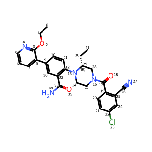 CCOc1ncccc1-c1ccc(N2CCN(C(=O)c3ccc(Cl)cc3C#N)C[C@H]2CC)c(C(N)=O)c1